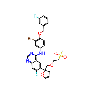 CS(=O)(=O)CCOCC1(c2cc3c(Nc4ccc(OCc5cccc(F)c5)c(Br)c4)ncnc3cc2F)CC=CO1